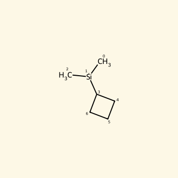 C[Si](C)C1CCC1